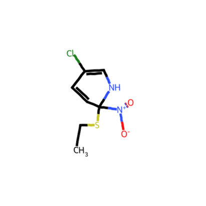 CCSC1([N+](=O)[O-])C=CC(Cl)=CN1